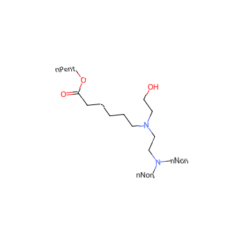 CCCCCCCCCN(CCCCCCCCC)CCN(CCO)CCCCCC(=O)OCCCCC